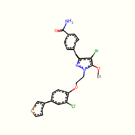 CCOc1c(Br)c(-c2ccc(C(N)=O)cc2)nn1CCOc1ccc(-c2ccsc2)cc1Cl